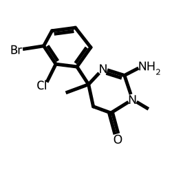 CN1C(=O)CC(C)(c2cccc(Br)c2Cl)N=C1N